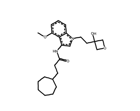 COc1cccc2c1c(NC(=O)CCC1CCCCCC1)cn2CCC1(O)COC1